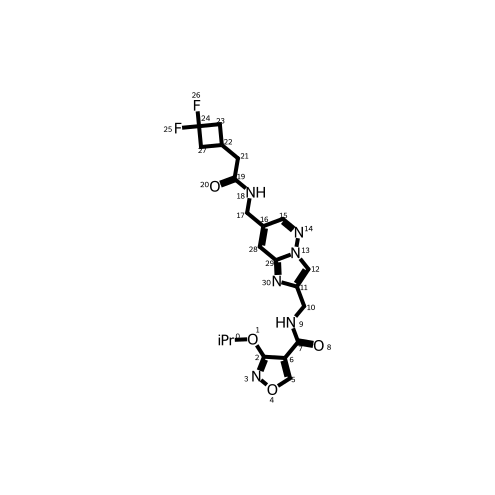 CC(C)Oc1nocc1C(=O)NCc1cn2ncc(CNC(=O)CC3CC(F)(F)C3)cc2n1